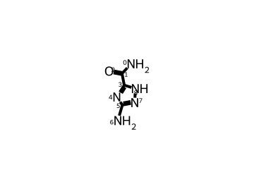 NC(=O)c1nc(N)n[nH]1